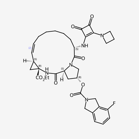 CCOC(=O)[C@@]12C[C@H]1/C=C\CCCCC[C@H](Nc1c(N3CCC3)c(=O)c1=O)C(=O)N1C[C@H](OC(=O)N3Cc4cccc(F)c4C3)C[C@H]1C(=O)N2